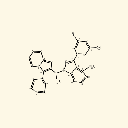 C[C@@H](c1cc2ccccn2c1-c1ccncc1)n1nc(-c2cc(O)cc(F)c2)c2c(N)ncnc21